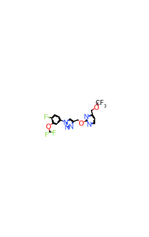 Fc1ccc(-n2cc(COc3nccc(COC(F)(F)F)n3)nn2)cc1OC(F)F